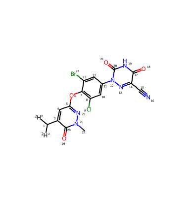 [2H]C([2H])c1cc(Oc2c(Cl)cc(-n3nc(C#N)c(=O)[nH]c3=O)cc2Br)nn(C)c1=O